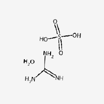 N=C(N)N.O.O=S(=O)(O)O